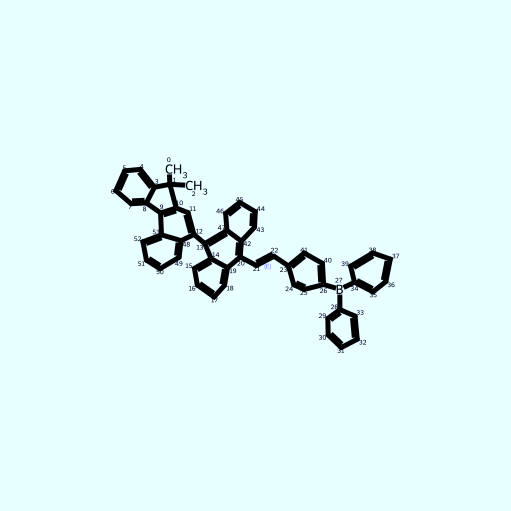 CC1(C)c2ccccc2-c2c1cc(-c1c3ccccc3c(/C=C/c3ccc(B(c4ccccc4)c4ccccc4)cc3)c3ccccc13)c1ccccc21